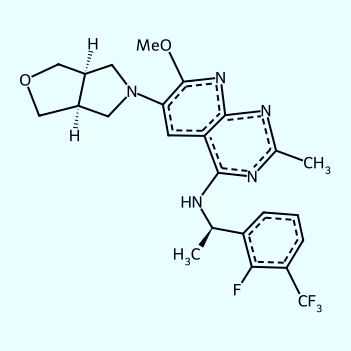 COc1nc2nc(C)nc(N[C@H](C)c3cccc(C(F)(F)F)c3F)c2cc1N1C[C@H]2COC[C@H]2C1